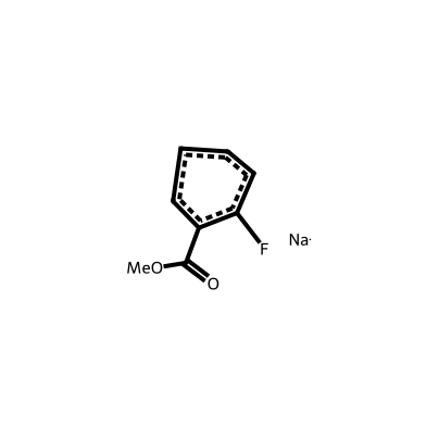 COC(=O)c1ccccc1F.[Na]